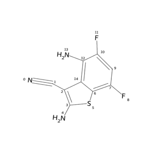 N#Cc1c(N)sc2c(F)cc(F)c(N)c12